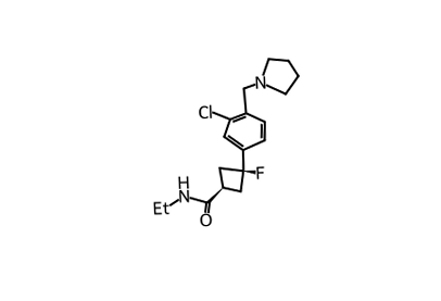 CCNC(=O)[C@H]1C[C@](F)(c2ccc(CN3CCCC3)c(Cl)c2)C1